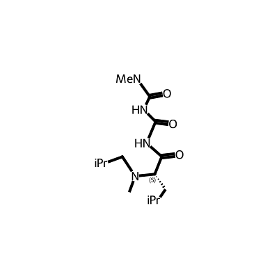 CNC(=O)NC(=O)NC(=O)[C@H](CC(C)C)N(C)CC(C)C